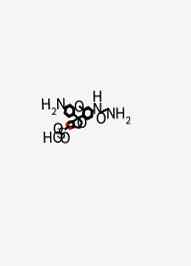 NCC(=O)Nc1ccc2c(c1)Oc1cc(N)ccc1C21OCc2cc(S(=O)(=O)O)ccc21